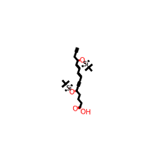 C#CCC(C=CC=CC#CC(CCCC(=O)O)O[Si](C)(C)C(C)(C)C)O[Si](C)(C)C(C)(C)C